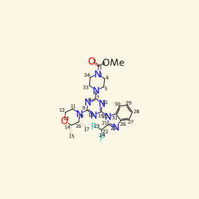 COC(=O)N1CCN(c2nc(N3CCO[C@@H](C)[C@H]3C)nc(-n3c(C(F)F)nc4ccccc43)n2)CC1